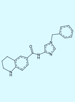 O=C(Nc1cn(Cc2ccccc2)cn1)c1ccc2c(c1)CCCN2